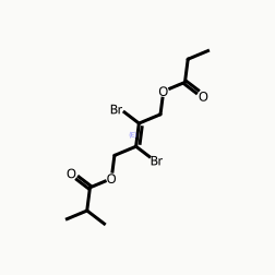 CCC(=O)OC/C(Br)=C(\Br)COC(=O)C(C)C